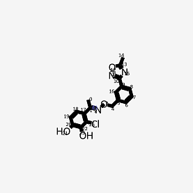 C/C(=N\OCc1cccc(-c2noc(C)n2)c1)c1ccc(O)c(O)c1Cl